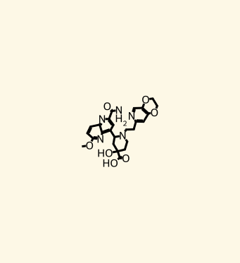 COc1ccc2nc(C(N)=O)cc(C3CC(O)(C(=O)O)CCN3CCc3cc4c(cn3)OCCO4)c2n1